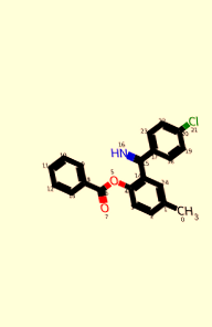 Cc1ccc(OC(=O)c2ccccc2)c(C(=N)c2ccc(Cl)cc2)c1